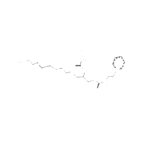 CCCCCCCCCCCCCCCCCCOCC(COC(=O)OCC[n+]1ccccc1)OC(=O)NC.[Br-]